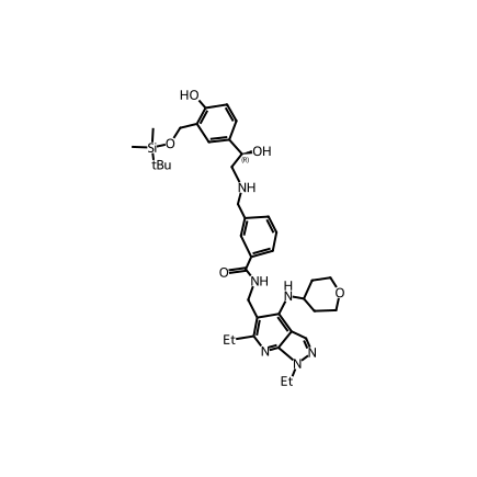 CCc1nc2c(cnn2CC)c(NC2CCOCC2)c1CNC(=O)c1cccc(CNC[C@H](O)c2ccc(O)c(CO[Si](C)(C)C(C)(C)C)c2)c1